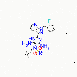 CN(C)S(=O)(=O)N(CCC(C)(C)C)C1=C(N)NC(c2nn(Cc3ccccc3F)c3ncccc23)N=C1N